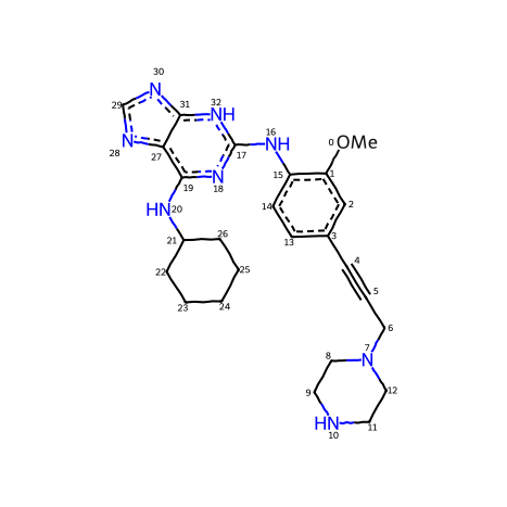 COc1cc(C#CCN2CCNCC2)ccc1Nc1nc(NC2CCCCC2)c2ncnc-2[nH]1